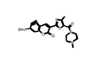 COc1ccc2cc(-c3nc(C)c(C(=O)N4CCN(C)CC4)s3)c(=O)oc2c1